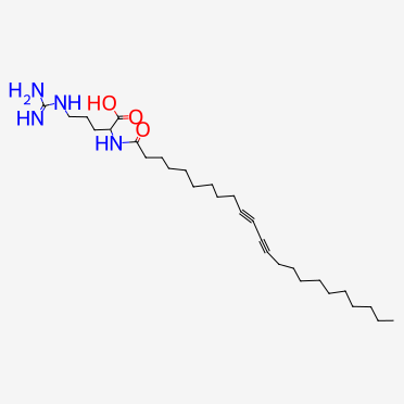 CCCCCCCCCCC#CC#CCCCCCCCCC(=O)NC(CCCNC(=N)N)C(=O)O